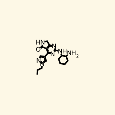 CCCn1cc(-c2nc(NC3CCCCC3N)nc3c2C(=O)NC3)cn1